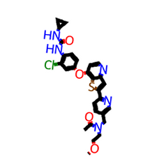 COCCN(Cc1ccc(-c2cc3nccc(Oc4ccc(NC(=O)NC5CC5)c(Cl)c4)c3s2)nc1)C(C)=O